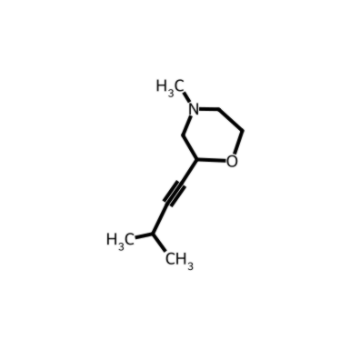 CC(C)C#CC1CN(C)CCO1